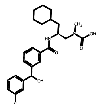 CN(C[C@H](CC1CCCCC1)NC(=O)c1cccc(C(O)c2cccc(Cl)c2)c1)C(=O)O